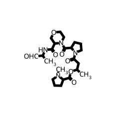 CC(C=O)NC(=O)C1COCCN1C(=O)C1CCCN1C(=O)CC(C)OC(=O)C1CCCN1C